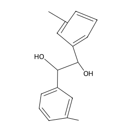 Cc1cccc(C(O)C(O)c2cccc(C)c2)c1